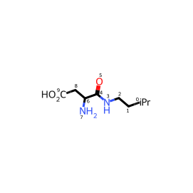 CC(C)CCNC(=O)C(N)CC(=O)O